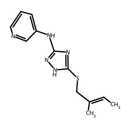 CC=C(C)CSc1nc(Nc2cccnc2)n[nH]1